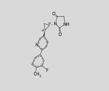 Cc1ccc(-c2ccc([C@H]3C[C@@H]3N3C(=O)CNC3=O)cn2)cc1F